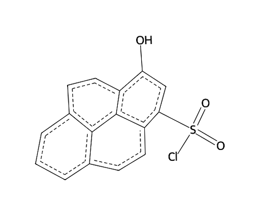 O=S(=O)(Cl)c1cc(O)c2ccc3cccc4ccc1c2c34